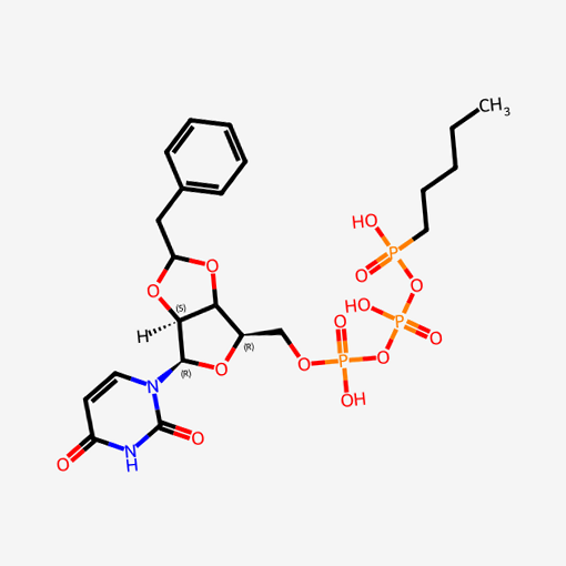 CCCCCP(=O)(O)OP(=O)(O)OP(=O)(O)OC[C@H]1O[C@@H](n2ccc(=O)[nH]c2=O)[C@H]2OC(Cc3ccccc3)OC12